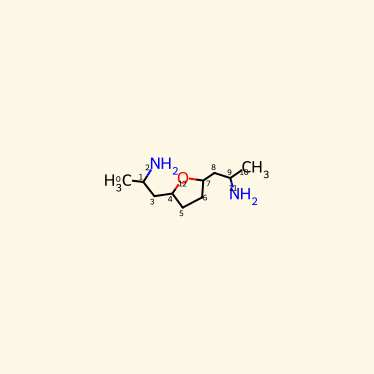 CC(N)CC1CCC(CC(C)N)O1